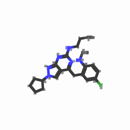 COCCNc1nc(Cc2cc(Cl)ccc2NC=O)c2cn(C3CCCC3)nc2n1